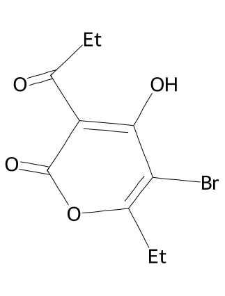 CCC(=O)c1c(O)c(Br)c(CC)oc1=O